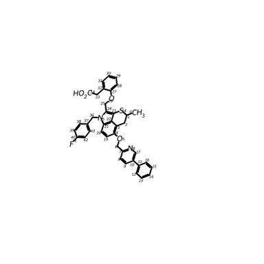 CC1Cc2c(OCc3ccc(-c4ccccc4)cn3)ccc3c2c(c(COc2ccccc2CC(=O)O)n3Cc2ccc(F)cc2)S1